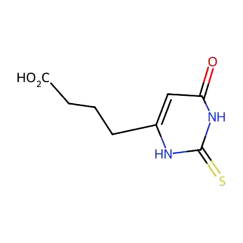 O=C(O)CCCc1cc(=O)[nH]c(=S)[nH]1